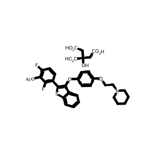 CC(=O)Oc1c(F)ccc(-c2sc3ccccc3c2Oc2ccc(OCCN3CCCCC3)cc2)c1F.O=C(O)CC(O)(CC(=O)O)C(=O)O